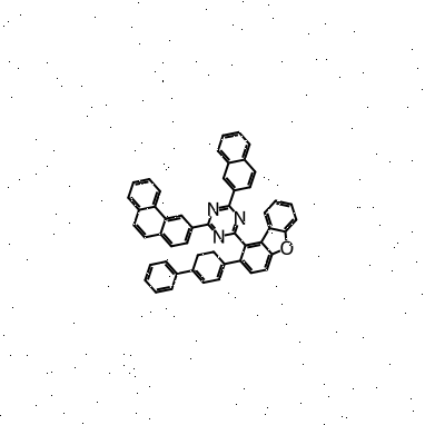 C1=C(c2ccccc2)CCC(c2ccc3oc4ccccc4c3c2-c2nc(-c3ccc4ccccc4c3)nc(-c3ccc4ccc5ccccc5c4c3)n2)=C1